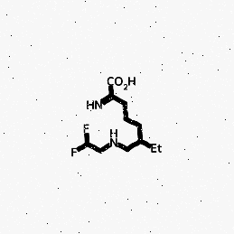 CCC(CCCC(=N)C(=O)O)CNCC(F)F